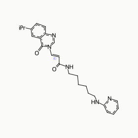 CC(C)c1ccc2ncn(/C=C/C(=O)NCCCCCCNc3ccccn3)c(=O)c2c1